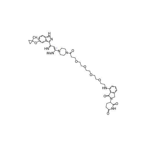 CN/C(=C\C(=N)c1n[nH]c2ccc(OC3(C)CC3)cc12)N1CCN(C(=O)CCOCCOCCOCCOCCNc2cccc3c2C(=O)N(C2CCC(=O)NC2=O)C3)CC1